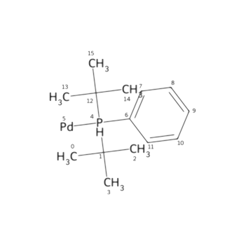 CC(C)(C)[PH]([Pd])(c1ccccc1)C(C)(C)C